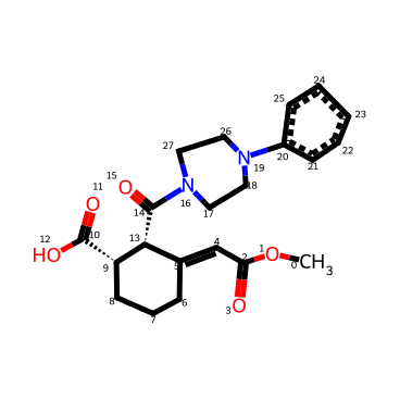 COC(=O)C=C1CCC[C@H](C(=O)O)[C@@H]1C(=O)N1CCN(c2ccccc2)CC1